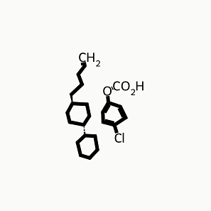 C=CCCC[C@H]1CC[C@H](C2CCCCC2)CC1.O=C(O)Oc1ccc(Cl)cc1